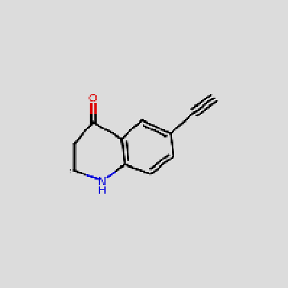 C#Cc1ccc2c(c1)C(=O)C[C]N2